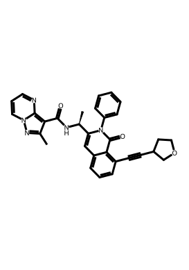 Cc1nn2cccnc2c1C(=O)N[C@@H](C)c1cc2cccc(C#CC3CCOC3)c2c(=O)n1-c1ccccc1